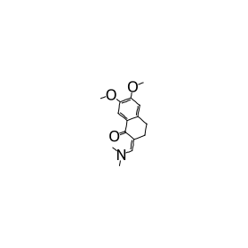 COc1cc2c(cc1OC)C(=O)C(=CN(C)C)CC2